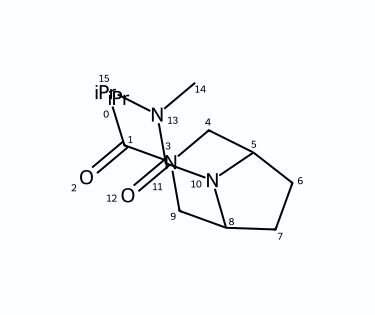 CC(C)C(=O)N1CC2CCC(C1)N2C(=O)N(C)C(C)C